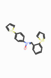 [O-]/[N+](=C\c1ccccc1[SH]1C=CC=C1)c1ccc([SH]2C=CC=C2)cc1